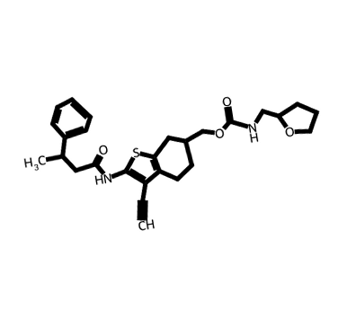 C#Cc1c(NC(=O)CC(C)c2ccccc2)sc2c1CCC(COC(=O)NCC1CCCO1)C2